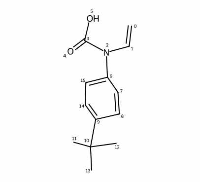 C=CN(C(=O)O)c1ccc(C(C)(C)C)cc1